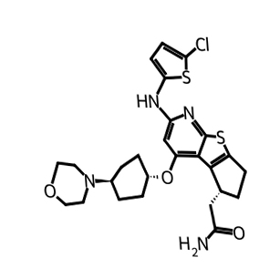 NC(=O)C[C@H]1CCc2sc3nc(Nc4ccc(Cl)s4)cc(O[C@H]4CC[C@H](N5CCOCC5)CC4)c3c21